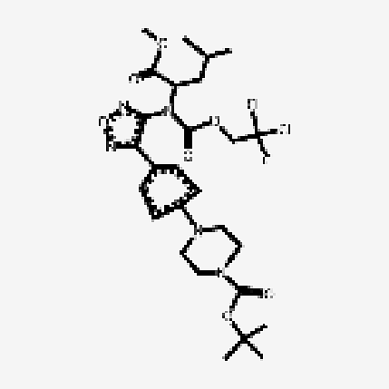 COC(=O)C(CC(C)C)N(C(=O)OCC(Cl)(Cl)Cl)c1nonc1-c1ccc(N2CCN(C(=O)OC(C)(C)C)CC2)cc1